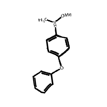 CO[SiH](C)c1ccc(Oc2ccccc2)cc1